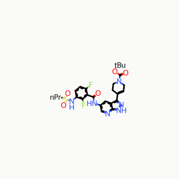 CCCS(=O)(=O)Nc1ccc(F)c(C(=O)Nc2cnc3[nH]nc(C4=CCN(C(=O)OC(C)(C)C)CC4)c3c2)c1F